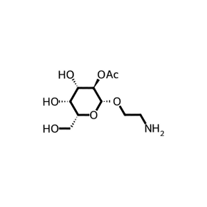 CC(=O)O[C@H]1[C@H](OCCN)O[C@H](CO)[C@H](O)[C@@H]1O